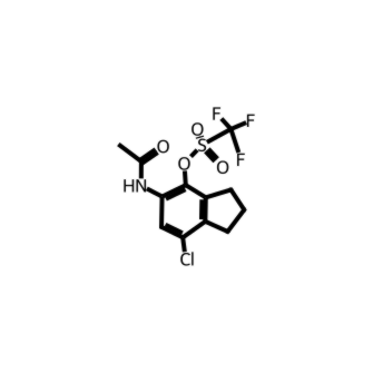 CC(=O)Nc1cc(Cl)c2c(c1OS(=O)(=O)C(F)(F)F)CCC2